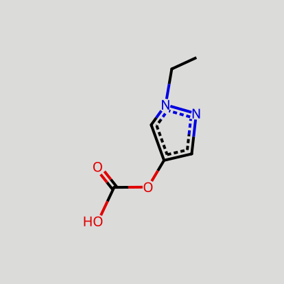 CCn1cc(OC(=O)O)cn1